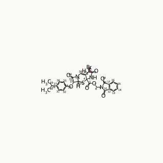 CC(=O)NC1(C(=O)OCN2C(=O)c3ccccc3C2=O)S[C@@H]2C(Oc3ccc(C(C)C)cc3)C(=O)N2C=C1CBr